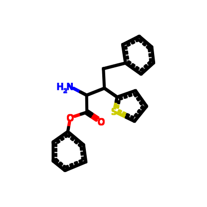 NC(C(=O)Oc1ccccc1)C(Cc1ccccc1)c1cccs1